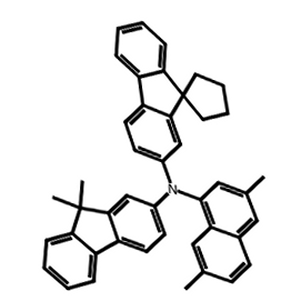 Cc1cc(N(c2ccc3c(c2)C(C)(C)c2ccccc2-3)c2ccc3c(c2)C2(CCCC2)c2ccccc2-3)c2cc(C)ccc2c1